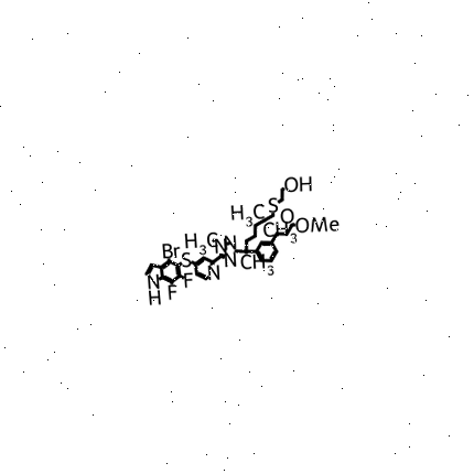 COC(=O)CCc1cccc(C(C)(CCCC(C)(C)CSCCO)c2nc(-c3cc(Sc4c(F)c(F)c5[nH]ccc5c4Br)ccn3)n(C)n2)c1